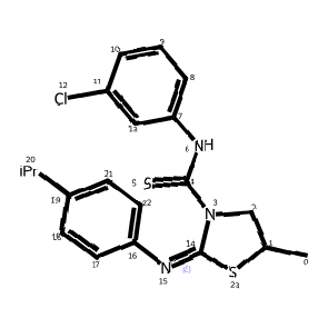 CC1CN(C(=S)Nc2cccc(Cl)c2)/C(=N\c2ccc(C(C)C)cc2)S1